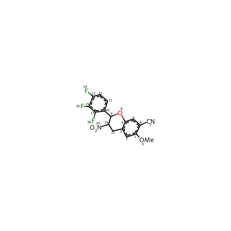 COc1cc2c(cc1C#N)OC(c1ccc(F)c(F)c1F)C([N+](=O)[O-])C2